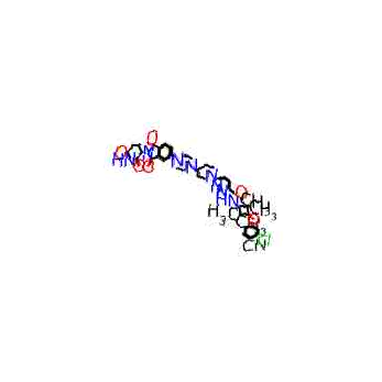 CC1(C)C(NC(=O)c2ccc(N3CCC(N4CCN(c5ccc6c(c5)C(=O)N(C5CCC(=O)NC5=O)C6=O)CC4)CC3)nn2)C(C)(C)C1Oc1ccc(C#N)c(Cl)c1